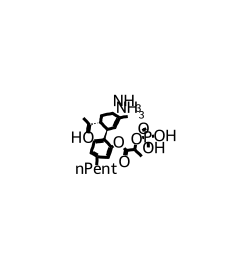 C=C(C)[C@@H]1CCC(C)=C[C@H]1c1c(O)cc(CCCCC)cc1OC(=O)C(C)OP(=O)(O)O.N.N